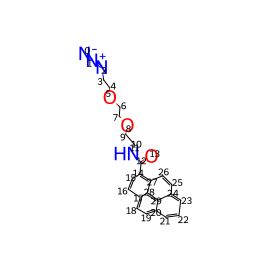 [N-]=[N+]=NCCOCCOCCNC(=O)c1ccc2ccc3cccc4ccc1c2c34